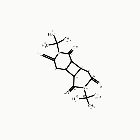 CC(C)(C)N1C(=O)CC2C(C1=O)C1CC(=O)N(C(C)(C)C)C(=O)C21